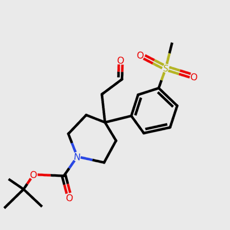 CC(C)(C)OC(=O)N1CCC(CC=O)(c2cccc(S(C)(=O)=O)c2)CC1